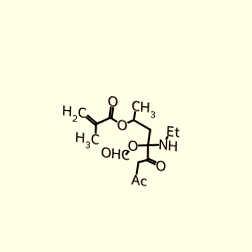 C=C(C)C(=O)OC(C)CC(NCC)(OC=O)C(=O)CC(C)=O